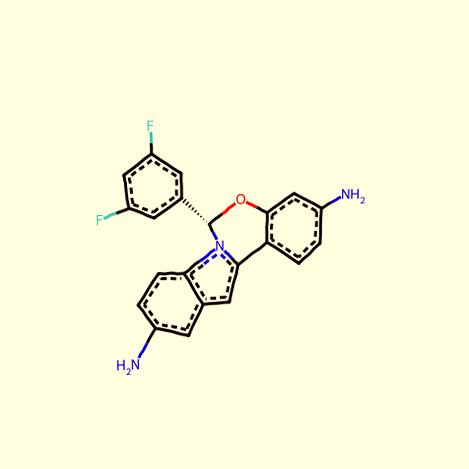 Nc1ccc2c(c1)O[C@@H](c1cc(F)cc(F)c1)n1c-2cc2cc(N)ccc21